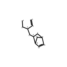 C=CC(CC)CC1CC2C=CC1C2